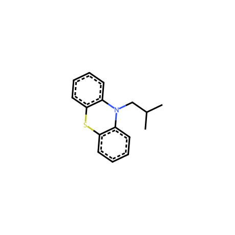 CC(C)CN1c2ccccc2Sc2ccccc21